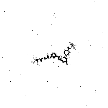 CC(C)(C)OC(=O)NCC(=O)Nc1cncc(-c2nn3c(N4CCN(C(=O)OC(C)(C)C)CC4)cc(=O)nc3s2)c1